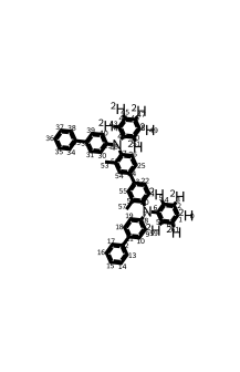 [2H]c1c([2H])c([2H])c(N(c2ccc(-c3ccccc3)cc2)c2ccc(-c3ccc(N(c4ccc(-c5ccccc5)cc4)c4c([2H])c([2H])c([2H])c([2H])c4[2H])c(C)c3)cc2C)c([2H])c1[2H]